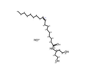 CCCCCCCC/C=C\CCCCCCCC(=O)NC(CCO)CCO.Cl